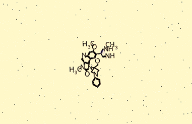 CN/C=C(\C=N)c1c(OC)cc2ncc3c4c2c1OCC1(CN(c2ccccc2)C1)n4c(=O)n3C